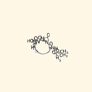 CC(C)(C)OC(=O)N[C@H]1CCCCC/C=C\[C@@H]2C[C@@]2(C(=O)O)NC(=O)[C@@H]2CC(=O)CN2C1=O